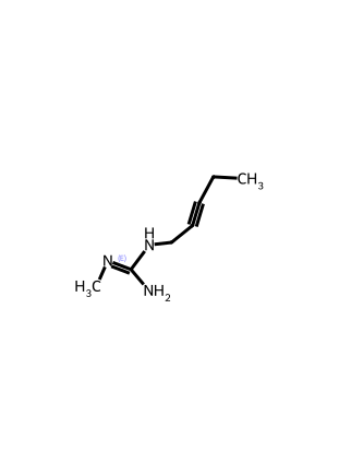 CCC#CCN/C(N)=N/C